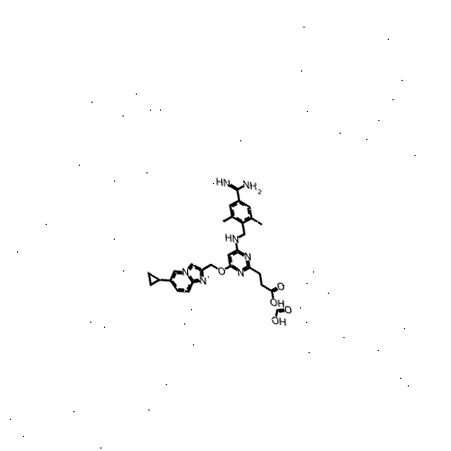 Cc1cc(C(=N)N)cc(C)c1CNc1cc(OCc2cn3cc(C4CC4)ccc3n2)nc(CCC(=O)O)n1.O=CO